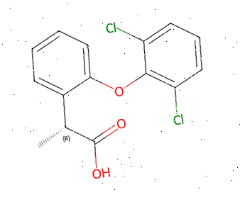 C[C@@H](C(=O)O)c1ccccc1Oc1c(Cl)cccc1Cl